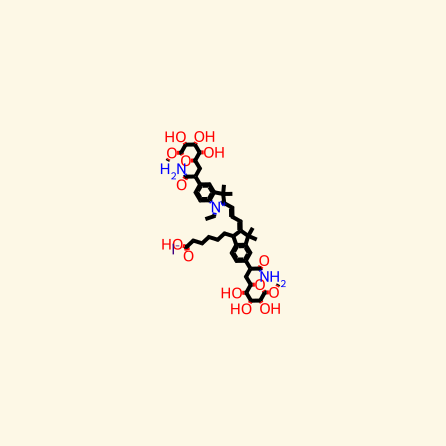 CC[N+]1=C(C=CC=C2C(CCCCCC(=O)O)c3ccc(C(CC4OC(OC)C(O)C(O)C4O)C(N)=O)cc3C2(C)C)C(C)(C)c2cc(C(CC3OC(OC)C(O)C(O)C3O)C(N)=O)ccc21.[I-]